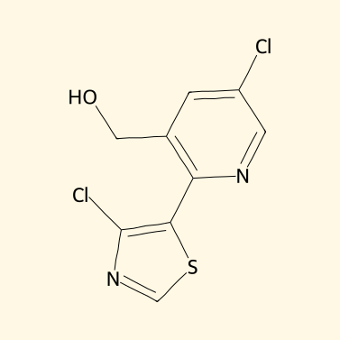 OCc1cc(Cl)cnc1-c1scnc1Cl